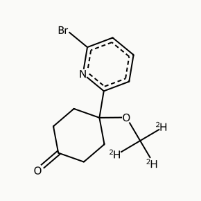 [2H]C([2H])([2H])OC1(c2cccc(Br)n2)CCC(=O)CC1